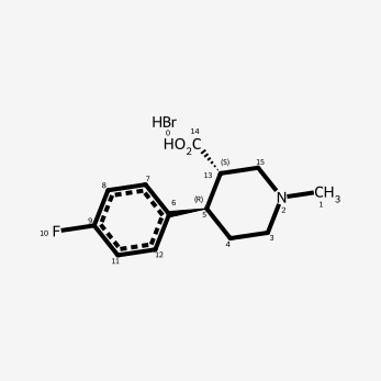 Br.CN1CC[C@@H](c2ccc(F)cc2)[C@H](C(=O)O)C1